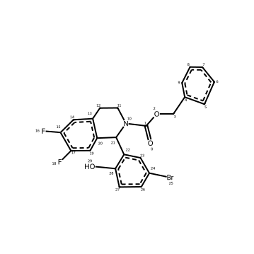 O=C(OCc1ccccc1)N1CCc2cc(F)c(F)cc2C1c1cc(Br)ccc1O